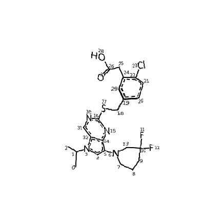 CC(C)n1cc(N2CCCC(F)(F)C2)c2nc(SCc3ccc(Cl)c(CC(=O)O)c3)ncc21